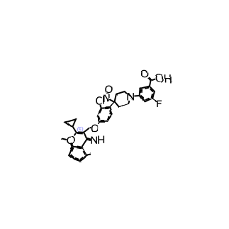 CO/C(=C(/COc1ccc(C2(N=O)CCN(c3cc(F)cc(C(=O)O)c3)CC2)c(Cl)c1)C(=N)c1c(C)cccc1C)C1CC1